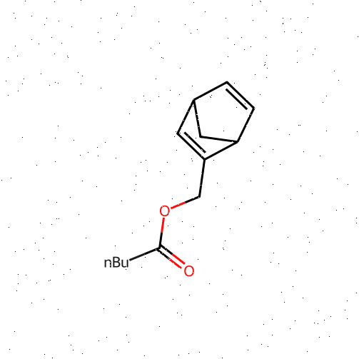 CCCCC(=O)OCC1=CC2C=CC1C2